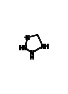 C1[N]NNN1